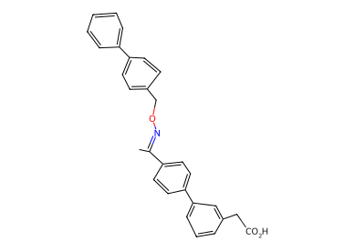 C/C(=N\OCc1ccc(-c2ccccc2)cc1)c1ccc(-c2cccc(CC(=O)O)c2)cc1